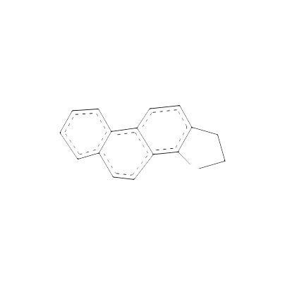 c1ccc2c(c1)ccc1c3c(ccc12)CCP3